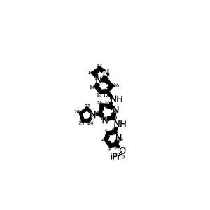 CC(C)Oc1cccc(Nc2nc(Nc3ccn4ccnc4c3)cc(N3CCCC3)n2)n1